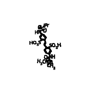 CC(C)S(=O)(=O)Nc1ccc(C=Cc2ccc(NS(=O)(=O)N(C)C)cc2S(=O)(=O)O)c(S(=O)(=O)O)c1